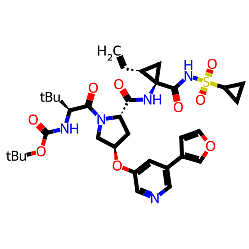 C=C[C@@H]1C[C@]1(NC(=O)[C@@H]1C[C@@H](Oc2cncc(-c3ccoc3)c2)CN1C(=O)[C@@H](NC(=O)OC(C)(C)C)C(C)(C)C)C(=O)NS(=O)(=O)C1CC1